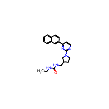 CCNC(=O)NCC1CCN(c2nccc(-c3ccc4ccccc4c3)n2)C1